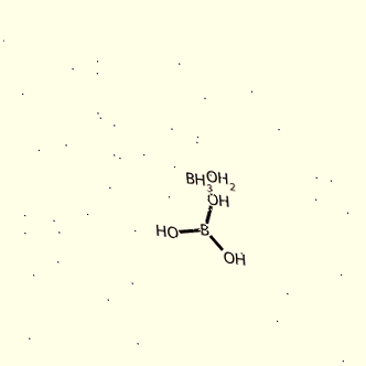 B.O.OB(O)O